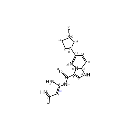 CC(=N)/C=C(\N)NC(=O)C1=CNC2C=CC(N3CC[C@H](F)C3)=NN12